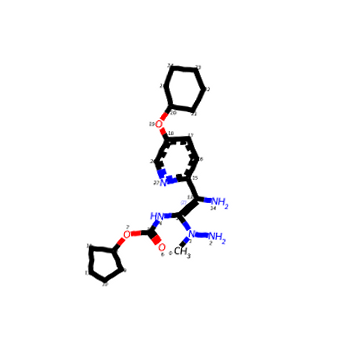 CN(N)/C(NC(=O)OC1CCCC1)=C(\N)c1ccc(OC2CCCCC2)cn1